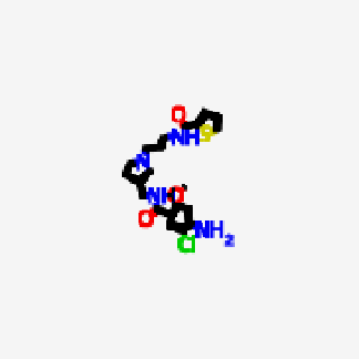 COc1cc(N)c(Cl)cc1C(=O)NCC1CCN(CCCNC(=O)c2cccs2)C1